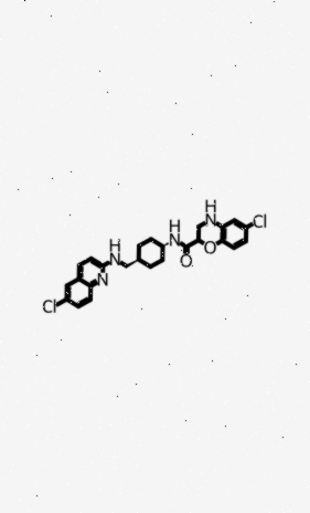 O=C(N[C@H]1CC[C@H](CNc2ccc3cc(Cl)ccc3n2)CC1)C1CNc2cc(Cl)ccc2O1